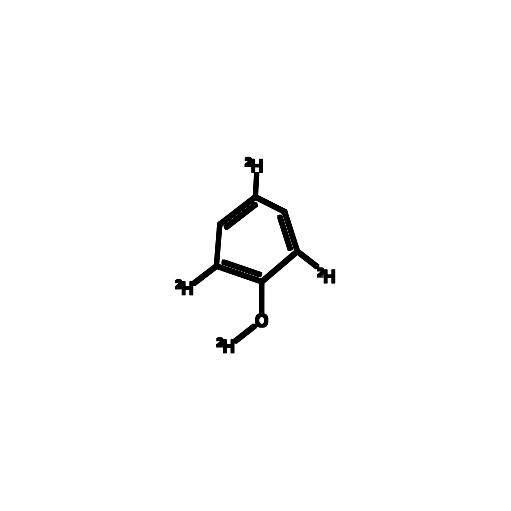 [2H]Oc1c([2H])cc([2H])cc1[2H]